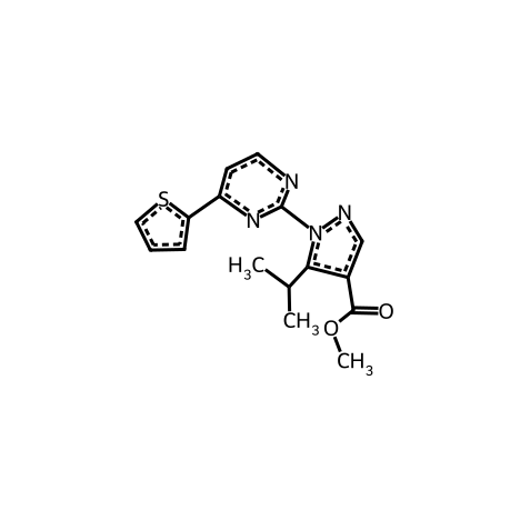 COC(=O)c1cnn(-c2nccc(-c3cccs3)n2)c1C(C)C